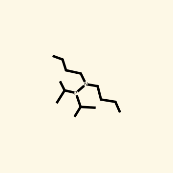 CCCCN(CCCC)P(C(C)C)C(C)C